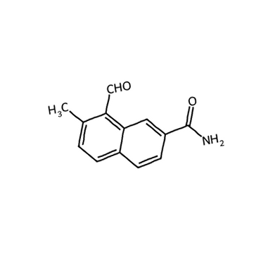 Cc1ccc2ccc(C(N)=O)cc2c1C=O